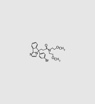 COCCN(CCOC)C(=O)CCC1(c2ccc(Br)cc2)c2ccccc2-c2nccn21